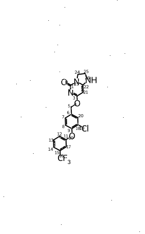 O=c1nc(OCc2ccc(Oc3cccc(C(F)(F)F)c3)c(Cl)c2)cc2n1CCN2